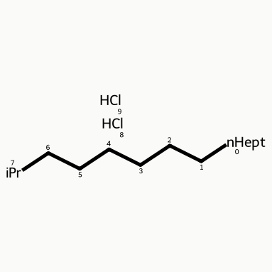 CCCCCCCCCCCCCC(C)C.Cl.Cl